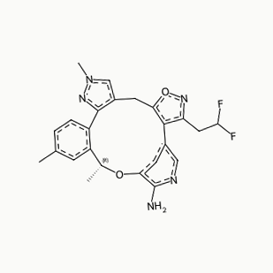 Cc1ccc2c(c1)[C@@H](C)Oc1cc(cnc1N)-c1c(CC(F)F)noc1Cc1cn(C)nc1-2